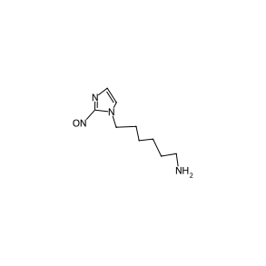 NCCCCCCn1ccnc1N=O